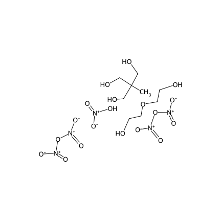 CC(CO)(CO)CO.O=[N+]([O-])O.O=[N+]([O-])O[N+](=O)[O-].O=[N+]([O-])O[N+](=O)[O-].OCCOCCO